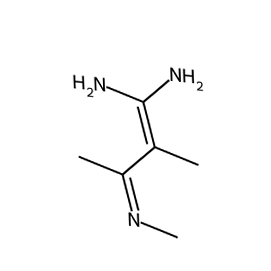 C/N=C(/C)C(C)=C(N)N